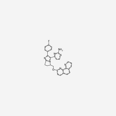 Nc1nccc(-c2c(-c3ccc(F)cc3)nc3n2C(COc2ccc4ccc5cccnc5c4n2)CC3)n1